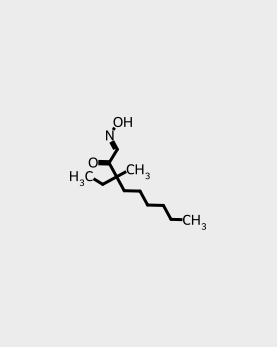 CCCCCCC(C)(CC)C(=O)C=NO